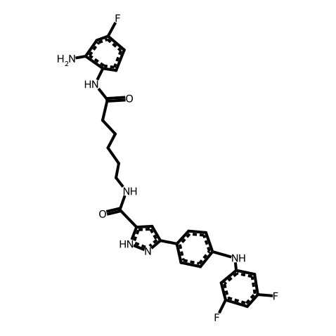 Nc1cc(F)ccc1NC(=O)CCCCCNC(=O)c1cc(-c2ccc(Nc3cc(F)cc(F)c3)cc2)n[nH]1